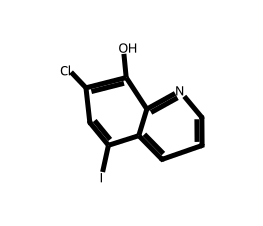 Oc1c(Cl)cc(I)c2cccnc12